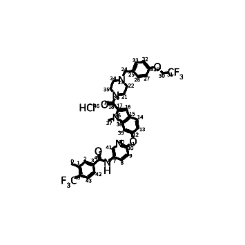 Cc1cc(C(=O)Nc2ccc(Oc3ccc4cc(C(=O)N5CCN(Cc6ccc(OCC(F)(F)F)cc6)CC5)n(C)c4c3)nc2)ccc1C(F)(F)F.Cl